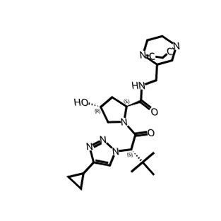 CC(C)(C)[C@@H](C(=O)N1C[C@H](O)C[C@H]1C(=O)NCC1CN2CCCN1CC2)n1cc(C2CC2)nn1